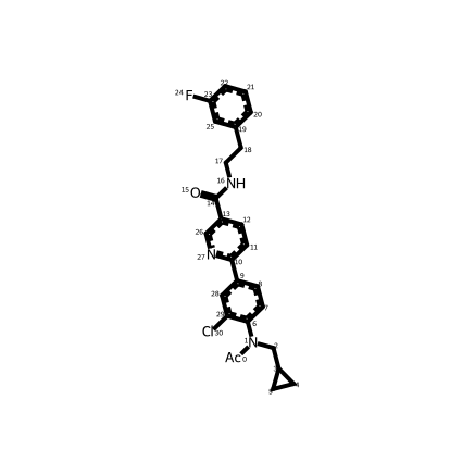 CC(=O)N(CC1CC1)c1ccc(-c2ccc(C(=O)NCCc3cccc(F)c3)cn2)cc1Cl